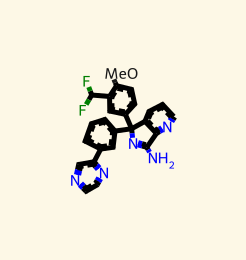 COc1ccc(C2(c3cccc(-c4cnccn4)c3)N=C(N)c3ncccc32)cc1C(F)F